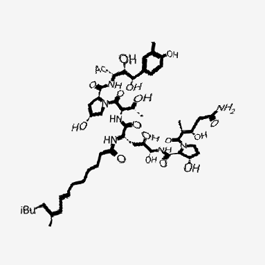 CC[C@H](C)C[C@H](C)CCCCCCCCC(=O)N[C@@H](C[C@@H](O)[C@@H](O)NC(=O)[C@@H]1[C@@H](O)CCN1C(=O)[C@@H](C)[C@H](O)CC(N)=O)C(=O)N[C@H](C(=O)N1C[C@H](O)C[C@H]1C(=O)N[C@H](C(C)=O)[C@H](O)[C@@H](O)c1ccc(O)c(C)c1)[C@@H](C)O